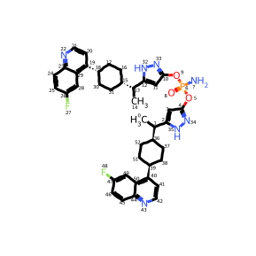 CC(c1cc(OP(N)(=O)Oc2cc(C(C)[C@H]3CC[C@@H](c4ccnc5ccc(F)cc54)CC3)[nH]n2)n[nH]1)[C@H]1CC[C@@H](c2ccnc3ccc(F)cc32)CC1